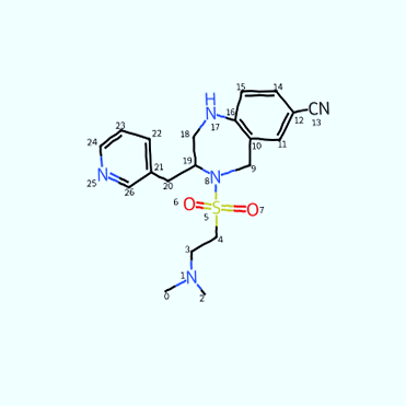 CN(C)CCS(=O)(=O)N1Cc2cc(C#N)ccc2NCC1Cc1cccnc1